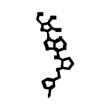 OC[C@H]1O[C@@H](n2cnc3c(N[C@@H]4CCC[C@H]4OCc4cccc(F)c4)ncnc32)[C@H](O)[C@@H]1O